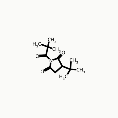 CC(C)(C)C(=O)N1C(=O)CC(C(C)(C)C)C1=O